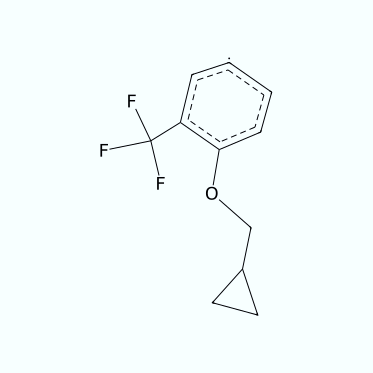 FC(F)(F)c1c[c]ccc1OCC1CC1